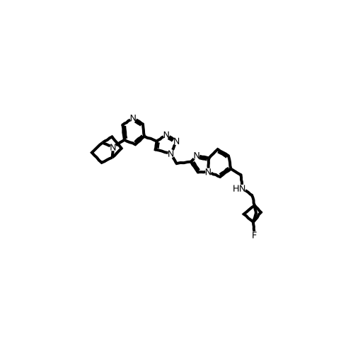 FC12CC(CNCc3ccc4nc(Cn5cc(-c6cncc(N7C8CCC7CC8)c6)nn5)cn4c3)(C1)C2